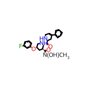 CN(O)C(=O)[C@H]1C[C@H](Oc2cccc(F)c2)CN[C@@H]1C(=O)C1CC(c2ccccc2)=CCN1